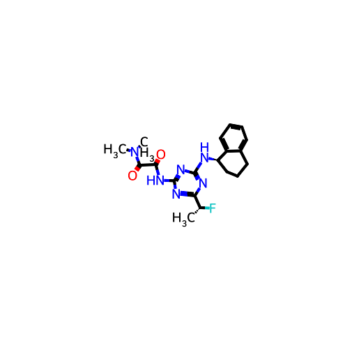 C[C@@H](F)c1nc(NC(=O)C(=O)N(C)C)nc(N[C@@H]2CCCc3ccccc32)n1